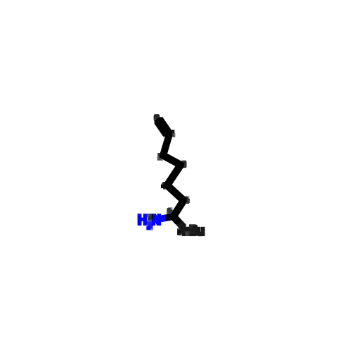 C=CCCCCC(N)CCCC